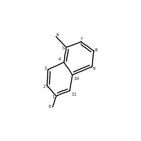 Cc1[c]cc2c(C)[c]ccc2c1